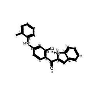 Cc1ccccc1Nc1ccc(C(=O)c2cc3ccccc3[nH]2)c(Cl)c1